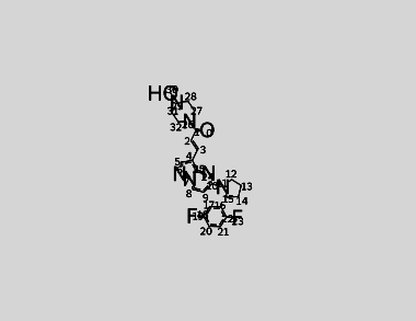 O=C(/C=C/c1cnn2ccc(N3CCC[C@@H]3c3cc(F)ccc3F)nc12)N1CCN(O)CC1